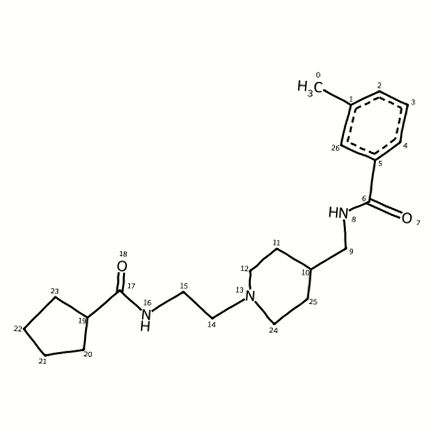 Cc1cccc(C(=O)NCC2CCN(CCNC(=O)C3CCCC3)CC2)c1